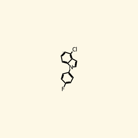 Fc1ccc(-n2ccc3c(Cl)[c]ccc32)cc1